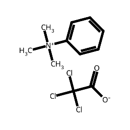 C[N+](C)(C)c1ccccc1.O=C([O-])C(Cl)(Cl)Cl